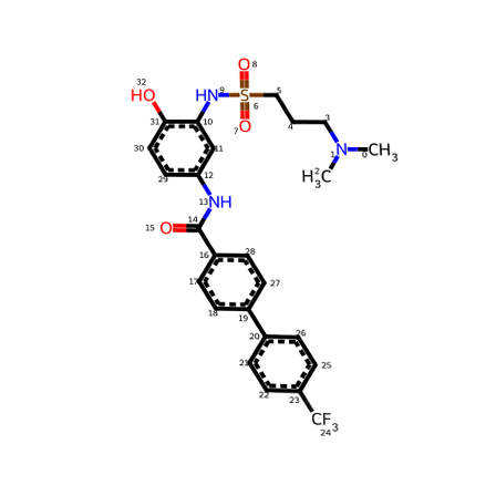 CN(C)CCCS(=O)(=O)Nc1cc(NC(=O)c2ccc(-c3ccc(C(F)(F)F)cc3)cc2)ccc1O